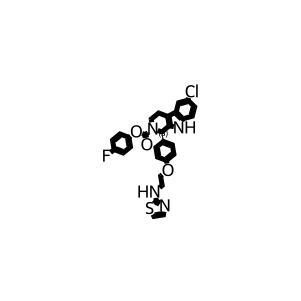 O=C(Oc1ccc(F)cc1)N1CCc2c([nH]c3ccc(Cl)cc23)[C@@H]1c1ccc(OCCNc2nccs2)cc1